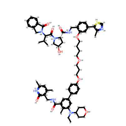 CCN(c1cc(-c2ccc(OCCCOCCCCOc3cc(-c4scnc4C)ccc3CNC(=O)[C@@H]3C[C@@H](O)CN3C(=O)C(C(C)C)N3Cc4ccccc4C3=O)cc2)cc(C(=O)NCc2c(C)cc(C)[nH]c2=O)c1C)C1CCOCC1